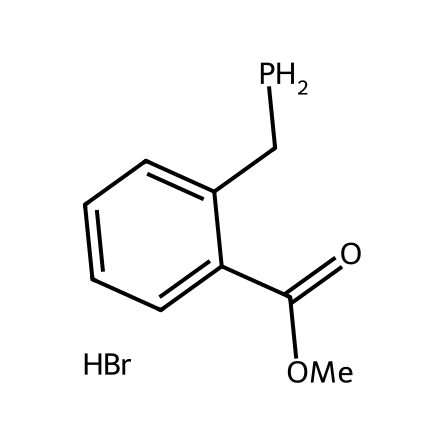 Br.COC(=O)c1ccccc1CP